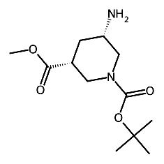 COC(=O)[C@@H]1C[C@H](N)CN(C(=O)OC(C)(C)C)C1